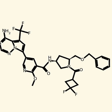 COc1ncc(-c2cc(C(F)(F)F)c3c(N)ncnn23)cc1C(=O)N[C@H]1C[C@@H](COCc2ccccc2)N(C(=O)C2CC(F)(F)C2)C1